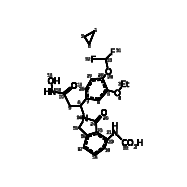 C1CC1.CCOc1cc(C(CC(=O)NO)N2Cc3cccc(NC(=O)O)c3C2=O)ccc1OC(F)F